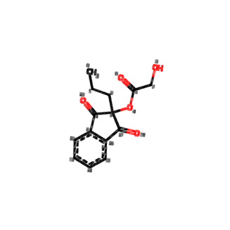 CCCC1(OC(=O)CO)C(=O)c2ccccc2C1=O